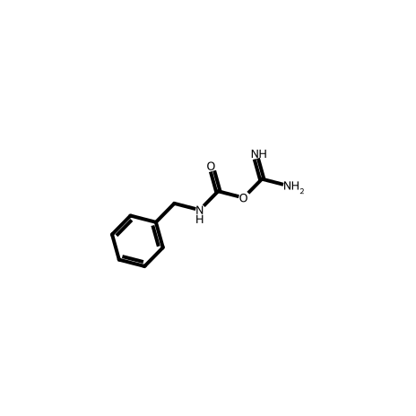 N=C(N)OC(=O)NCc1ccccc1